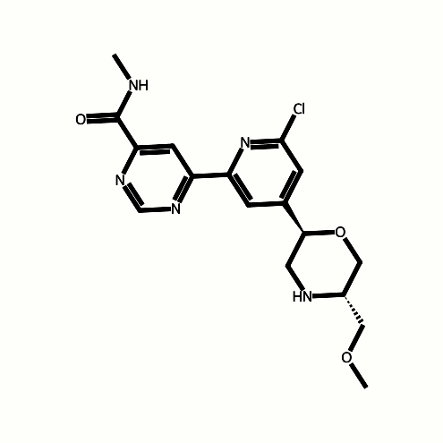 CNC(=O)c1cc(-c2cc([C@@H]3CN[C@@H](COC)CO3)cc(Cl)n2)ncn1